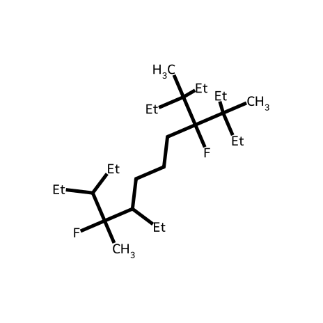 CCC(CC)C(C)(F)C(CC)CCCC(F)(C(C)(CC)CC)C(C)(CC)CC